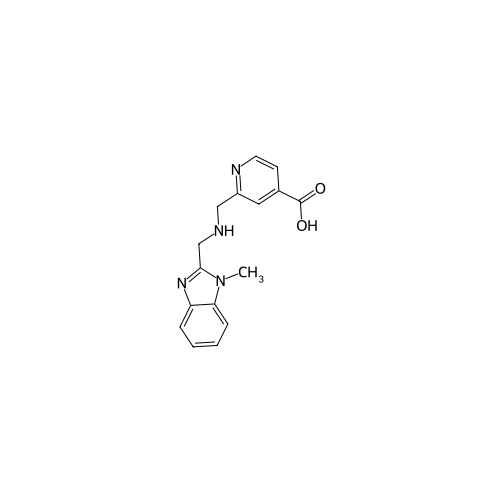 Cn1c(CNCc2cc(C(=O)O)ccn2)nc2ccccc21